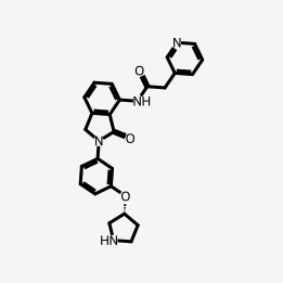 O=C(Cc1cccnc1)Nc1cccc2c1C(=O)N(c1cccc(O[C@@H]3CCNC3)c1)C2